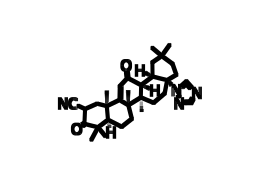 CC1(C)CC[C@]2(n3cncn3)CC[C@]3(C)[C@H](C(=O)C=C4[C@@]5(C)CC(C#N)C(=O)C(C)(C)[C@@H]5CC[C@]43C)[C@@H]2C1